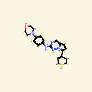 C1=C(c2ccc3cnc(Nc4ccc(N5CCOCC5)cc4)nn23)CCSC1